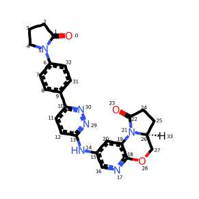 O=C1CCCN1c1ccc(-c2ccc(Nc3cnc4c(c3)N3C(=O)CC[C@H]3CO4)nn2)cc1